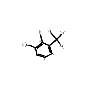 [2H]C([2H])([2H])c1cccc([N+](=O)[O-])c1F